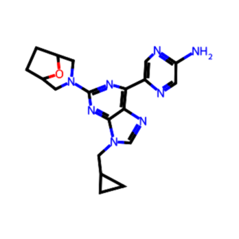 Nc1cnc(-c2nc(N3CC4CCC(C3)O4)nc3c2ncn3CC2CC2)cn1